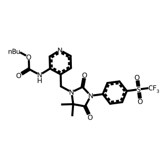 CCCCOC(=O)Nc1cnccc1CN1C(=O)N(c2ccc(S(=O)(=O)C(F)(F)F)cc2)C(=O)C1(C)C